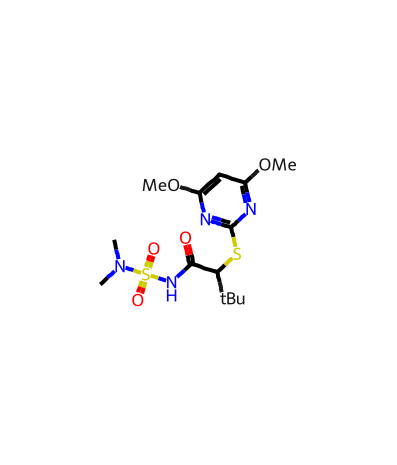 COc1cc(OC)nc(SC(C(=O)NS(=O)(=O)N(C)C)C(C)(C)C)n1